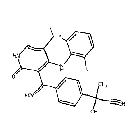 CC(C)(C#N)c1ccc(C(=N)c2c(Nc3c(F)cccc3F)c(CI)c[nH]c2=O)cc1